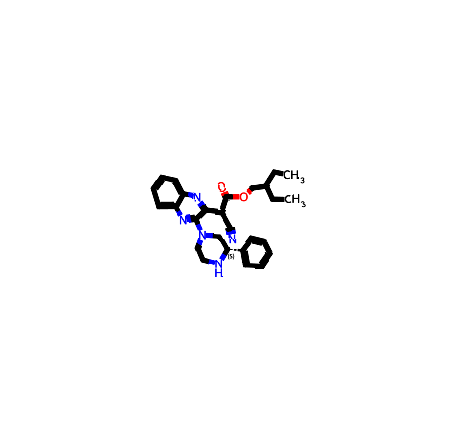 CCC(CC)COC(=O)C(C#N)c1nc2ccccc2nc1N1CCN[C@@H](c2ccccc2)C1